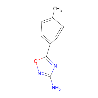 Cc1ccc(-c2nc(N)no2)cc1